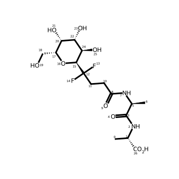 C[C@H](NC(=O)[C@H](C)NC(=O)CCC(F)(F)[C@H]1O[C@H](CO)[C@H](O)[C@H](O)[C@H]1O)C(=O)O